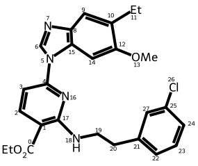 CCOC(=O)c1ccc(-n2cnc3cc(CC)c(OC)cc32)nc1NCCc1cccc(Cl)c1